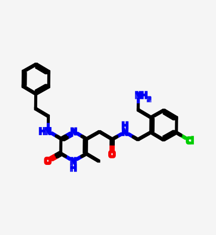 Cc1[nH]c(=O)c(NCCc2ccccc2)nc1CC(=O)NCc1cc(Cl)ccc1CN